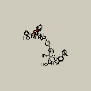 Cc1nccn1-c1ccc([C@H](C)NC(=O)[C@@H]2C[C@@H](O)CN2C(=O)[C@@H](c2cc(N3CCN(C[C@H]4C[C@H](Oc5cc(N6C7CCC6CN(c6cc(-c8ccccc8O)nnc6N)C7)ccn5)C4)CC3)no2)C(C)C)cc1